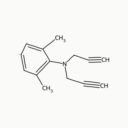 C#CCN(CC#C)c1c(C)c[c]cc1C